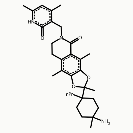 CCCC1(C2(C)Oc3c(C)c4c(c(C)c3O2)C(=O)N(Cc2c(C)cc(C)[nH]c2=O)CC4)CCC(C)(N)CC1